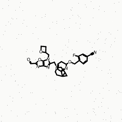 N#Cc1ccc(COC2CC=CC(C34CCN(Cc5nc6nc(C=O)oc6n5CC5CCO5)CC3C4)=N2)c(F)c1